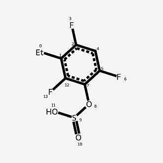 CCc1c(F)cc(F)c(OS(=O)O)c1F